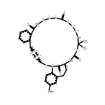 COc1ccc2c(c1)CC[C@H]1NC(=O)CC(C)(C)NCCOC(=O)CCCNC(=O)c3ccccc3-c3ccc(cc3)CN2C1=O